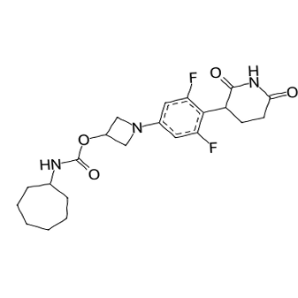 O=C1CCC(c2c(F)cc(N3CC(OC(=O)NC4CCCCCC4)C3)cc2F)C(=O)N1